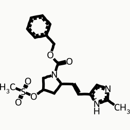 Cc1ncc(C=CC2CC(OS(C)(=O)=O)CN2C(=O)OCc2ccccc2)[nH]1